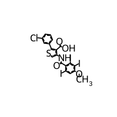 COc1cc(I)c(C(=O)Nc2csc(-c3cccc(Cl)c3)c2C(=O)O)c(I)c1I